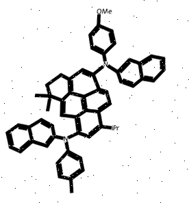 COc1ccc(N(c2ccc3ccccc3c2)c2cc3c4c(cc5c(N(c6ccc(C)cc6)c6ccc7ccccc7c6)cc(C(C)C)c6ccc2c4c65)C(C)(C)CC3)cc1